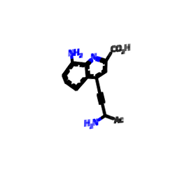 CC(=O)C(N)C#Cc1cc(C(=O)O)nc2c(N)cccc12